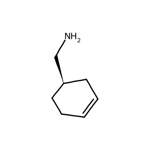 NC[C@H]1CC=CCC1